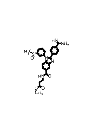 COC(=O)CCNC(=O)c1ccc2c(c1)nc(-c1ccc(C(=N)N)cc1)n2-c1cccc([S+](C)[O-])c1